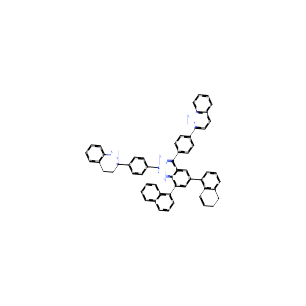 C1=Cc2c(cccc2-c2cc(-c3cccc4ccccc34)c3nc(-c4ccc(C5=Nc6ccccc6CC5)cc4)nc(-c4ccc(-c5ccc6ccccc6n5)cc4)c3c2)CC1